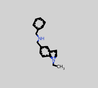 CCn1ccc2cc(CNCc3ccccc3)ccc21